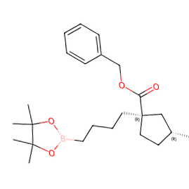 C[C@@H]1CC[C@@](CCCCB2OC(C)(C)C(C)(C)O2)(C(=O)OCc2ccccc2)C1